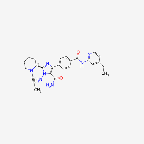 CC#CN1CCCC[C@H]1c1nc(-c2ccc(C(=O)Nc3cc(CC)ccn3)cc2)c(C(N)=O)n1N